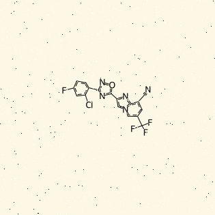 N#Cc1cc(C(F)(F)F)cn2cc(-c3nc(-c4ccc(F)cc4Cl)no3)nc12